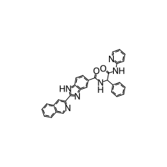 O=C(NC(C(=O)Nc1ccccn1)c1ccccc1)c1ccc2[nH]c(-c3cc4ccccc4cn3)nc2c1